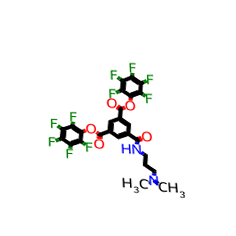 CN(C)CCCNC(=O)c1cc(C(=O)Oc2c(F)c(F)c(F)c(F)c2F)cc(C(=O)Oc2c(F)c(F)c(F)c(F)c2F)c1